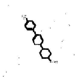 CCCCCCCCC1CCC(C2C=CC(c3ccc(C(F)(F)F)cc3)=CC2)CC1